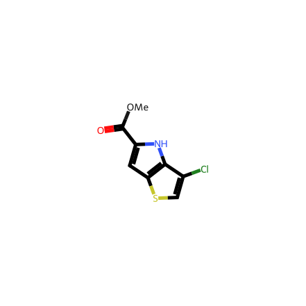 COC(=O)c1cc2scc(Cl)c2[nH]1